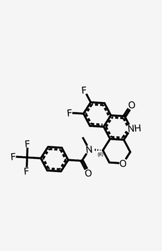 CN(C(=O)c1ccc(C(F)(F)F)cc1)[C@H]1COCc2[nH]c(=O)c3cc(F)c(F)cc3c21